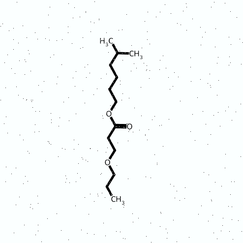 CCCOCCC(=O)OCCCCC(C)C